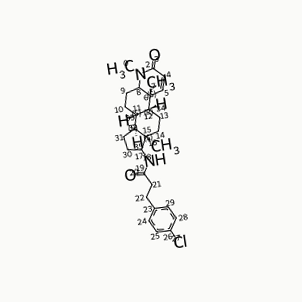 CN1C(=O)C=C[C@@]2(C)C1CC[C@@H]1[C@H]2CC[C@]2(C)C(NC(=O)CCc3ccc(Cl)cc3)CC[C@@H]12